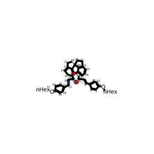 CCCCCCOc1ccc(/C=C/C(=O)OC2=C3C(=CCC2)CC[C@@]32CCc3cccc(OC(=O)/C=C/c4ccc(OCCCCCC)cc4)c32)cc1